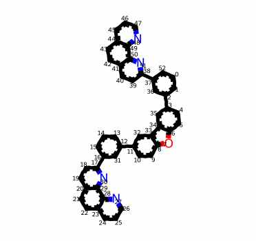 c1cc(-c2ccc3oc4ccc(-c5cccc(-c6ccc7ccc8cccnc8c7n6)c5)cc4c3c2)cc(-c2ccc3ccc4cccnc4c3n2)c1